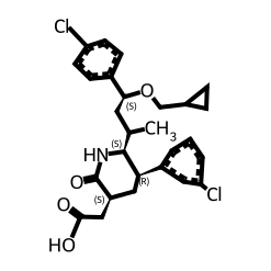 CC(C[C@H](OCC1CC1)c1ccc(Cl)cc1)[C@@H]1NC(=O)[C@H](CC(=O)O)C[C@@H]1c1cccc(Cl)c1